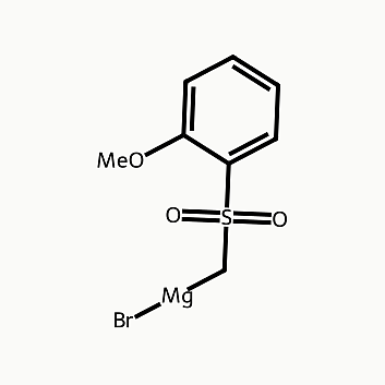 COc1ccccc1S(=O)(=O)[CH2][Mg][Br]